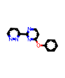 c1ccc(Oc2ccnc(-c3cccnn3)n2)cc1